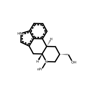 CCCN1C[C@@H](CO)C[C@@H]2c3cccc4[nH]cc(c34)C[C@H]21